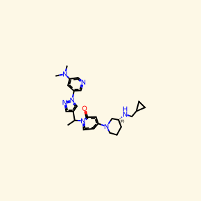 CC(c1cnn(-c2cncc(N(C)C)c2)c1)n1ccc(N2CCC[C@@H](NCC3CC3)C2)cc1=O